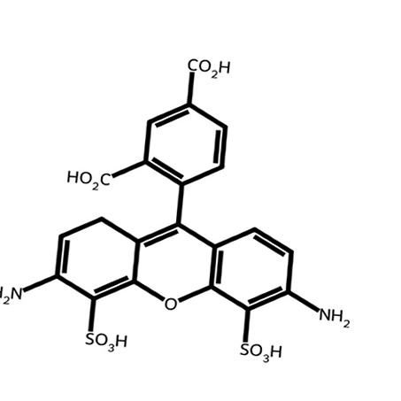 NC1=CCC2=C(c3ccc(C(=O)O)cc3C(=O)O)c3ccc(N)c(S(=O)(=O)O)c3OC2=C1S(=O)(=O)O